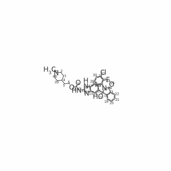 CN1CCC(CCOC(=O)Nc2nc3cc(C4(O)c5ccccc5C(=O)N4c4cccc(Cl)c4F)ccc3[nH]2)CC1